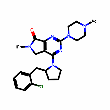 CC(=O)N1CCN(c2nc3c(c(N4CCCC4Cc4ccccc4Cl)n2)CN(C(C)C)C3=O)CC1